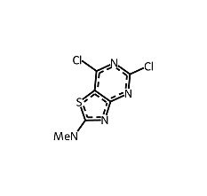 CNc1nc2nc(Cl)nc(Cl)c2s1